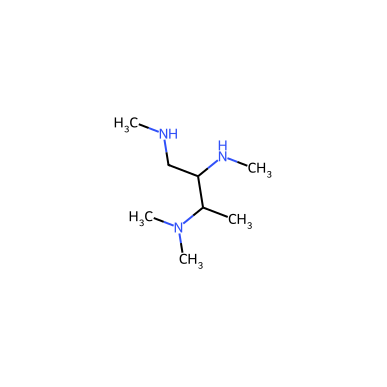 CNCC(NC)C(C)N(C)C